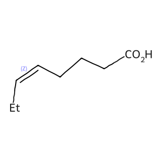 CC/C=C\CCCC(=O)O